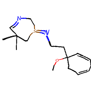 COC1(CCN=S2CN=CC(C)(C)C2)C=CC=CC1